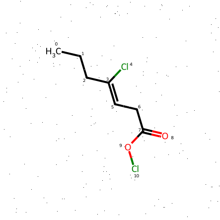 CCCC(Cl)=CCC(=O)OCl